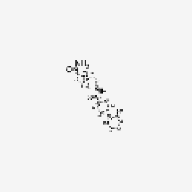 NC(=O)C1CCC2(C[CH]C(NC(=O)c3ccc(N4CCCCC4=O)cc3)C2)O1